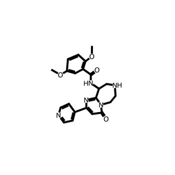 COc1ccc(OC)c(C(=O)NC2CNCCn3c2nc(-c2ccncc2)cc3=O)c1